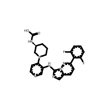 O=C(O)N[C@H]1CCCN(c2ccncc2Nc2ncc3ccc(-c4c(F)cccc4F)nn23)C1